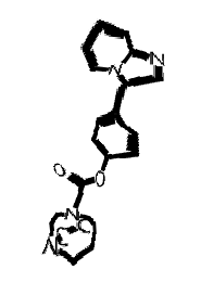 O=C(Oc1ccc(-c2cnc3ccccn23)cc1)N1CCN2CCC1CC2